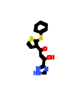 O=C(C=C(O)c1nc[nH]n1)c1ccsc1Sc1ccccc1